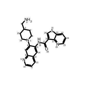 NCC1CCN(c2cc3ncccc3cc2NC(=O)c2csc3cccnc23)CC1